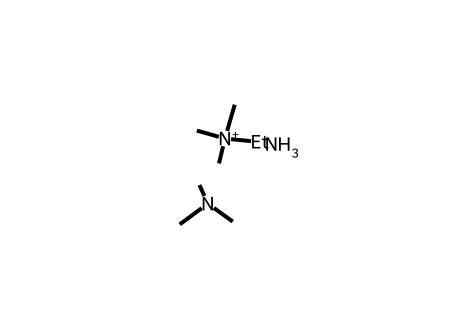 CC[N+](C)(C)C.CN(C)C.N